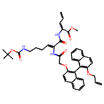 C=C/C=C(/NC(=O)/C(=C/CCCNC(=O)OC(C)(C)C)NC(=O)COc1ccc2ccccc2c1-c1c(OCC=C)ccc2ccccc12)C(=O)OC